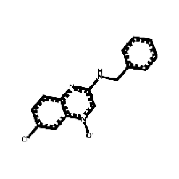 [O-][n+]1cc(NCc2ccccc2)nc2ccc(Cl)cc21